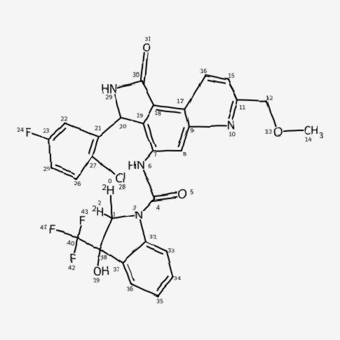 [2H]C1([2H])N(C(=O)Nc2cc3nc(COC)ccc3c3c2C(c2cc(F)ccc2Cl)NC3=O)c2ccccc2C1(O)C(F)(F)F